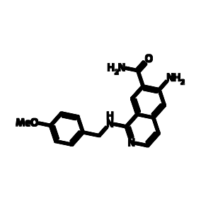 COc1ccc(CNc2nccc3cc(N)c(C(N)=O)cc23)cc1